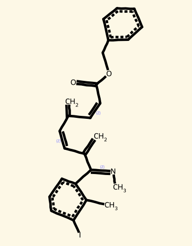 C=C(/C=C\C(=C)/C(=N/C)c1cccc(I)c1C)/C=C\C(=O)OCc1ccccc1